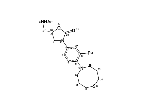 CC(=O)NC[C@H]1CN(c2ccc(N3CCCSCCC3)c(F)c2)C(=O)O1